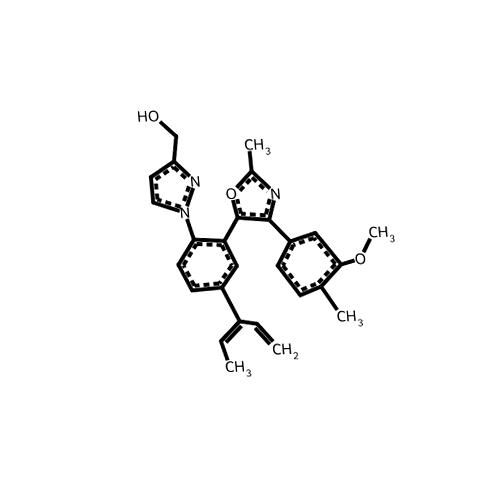 C=C/C(=C\C)c1ccc(-n2ccc(CO)n2)c(-c2oc(C)nc2-c2ccc(C)c(OC)c2)c1